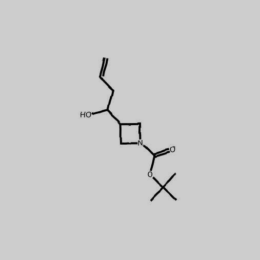 C=CCC(O)C1CN(C(=O)OC(C)(C)C)C1